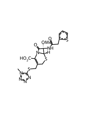 CO[C@@]1(NC(=O)Cc2cccs2)C(=O)N2C(C(=O)O)=C(CSc3nnnn3C)CS[C@H]21